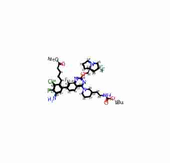 COC(=O)CCCCc1c(-c2ccc3c(N4CCCC(CCNC(=O)OC(C)(C)C)C4)nc(OC[C@@]45CCCN4C[C@H](F)C5)nc3c2F)cc(N)c(F)c1Cl